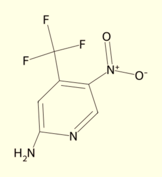 Nc1cc(C(F)(F)F)c([N+](=O)[O-])cn1